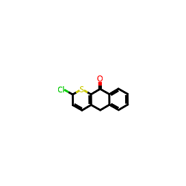 O=C1C2=C(C=CC(Cl)S2)Cc2ccccc21